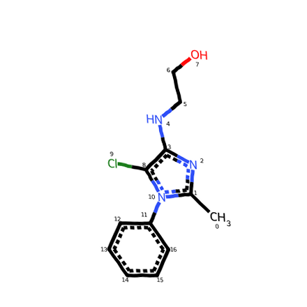 Cc1nc(NCCO)c(Cl)n1-c1ccccc1